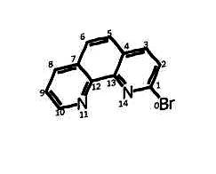 Brc1ccc2ccc3cccnc3c2n1